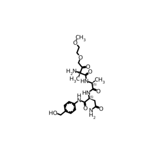 COCCOCC(=O)[C@@](C)(N)C(=O)N[C@@H](C)C(=O)N[C@@H](CC(N)=O)C(=O)Nc1ccc(CO)cc1